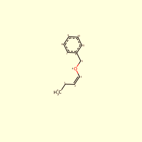 CC/C=[C]\OCc1ccccc1